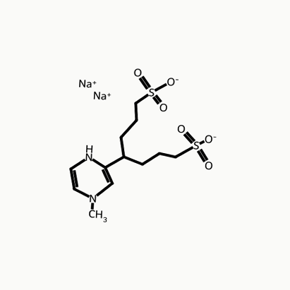 CN1C=CNC(C(CCCS(=O)(=O)[O-])CCCS(=O)(=O)[O-])=C1.[Na+].[Na+]